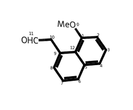 COc1cccc2cccc(CC=O)c12